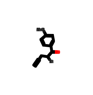 C#CCC(CC)C(=O)c1ccc(OC)cc1